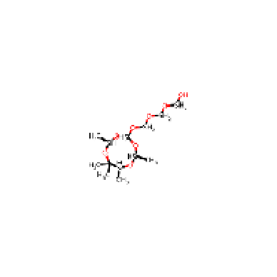 C[SiH]1O[SiH](O[SiH2]O[SiH2]O[SiH2]O)O[SiH](C)OC(C)(C)[SiH](C)O1